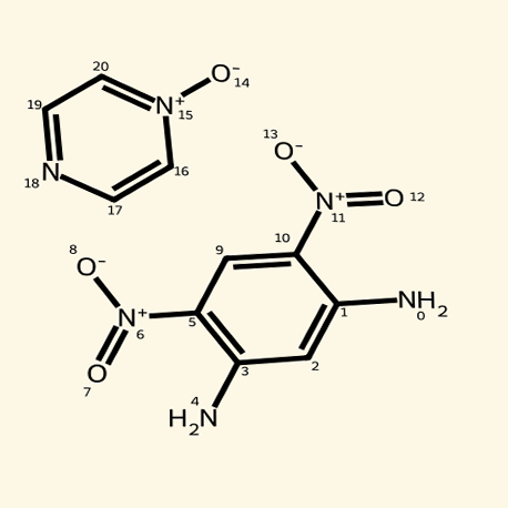 Nc1cc(N)c([N+](=O)[O-])cc1[N+](=O)[O-].[O-][n+]1ccncc1